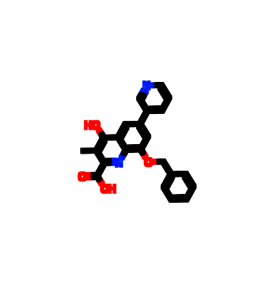 Cc1c(C(=O)O)nc2c(OCc3ccccc3)cc(-c3cccnc3)cc2c1O